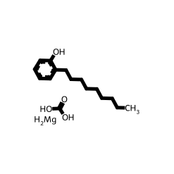 CCCCCCCCCc1ccccc1O.O=C(O)O.[MgH2]